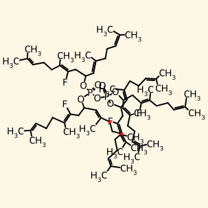 CC(C)=CCC/C(C)=C(\F)CC(/C=C(\C)CCC=C(C)C)OP(=O)(OC(/C=C(\C)CCC=C(C)C)C/C(F)=C(\C)CCC=C(C)C)OP(=O)(OC(/C=C(\C)CCC=C(C)C)C/C(F)=C(\C)CCC=C(C)C)OC(/C=C(\C)CCC=C(C)C)C/C(F)=C(\C)CCC=C(C)C